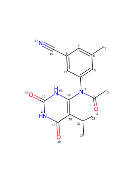 CC(=O)N(c1cc(C)cc(C#N)c1)c1[nH]c(=O)[nH]c(=O)c1C(C)C